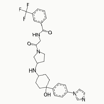 O=C(NCC(=O)N1CCC(NC2CCC(O)(c3ccc(-n4ccnc4)cc3)CC2)C1)c1cccc(C(F)(F)F)c1